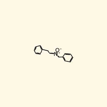 [O-][N+](=CCc1ccccc1)Cc1ccccc1